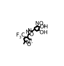 Cc1cc(C(F)(F)F)c(-c2nnc(-c3cc(O)c(O)c([N+](=O)[O-])c3)o2)c(C)[n+]1[O-]